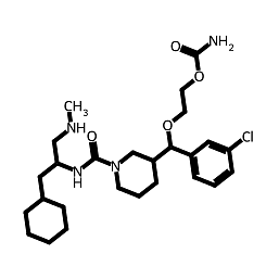 CNCC(CC1CCCCC1)NC(=O)N1CCCC(C(OCCOC(N)=O)c2cccc(Cl)c2)C1